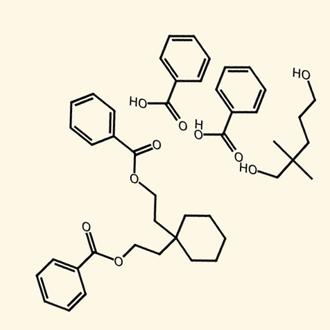 CC(C)(CO)CCCO.O=C(O)c1ccccc1.O=C(O)c1ccccc1.O=C(OCCC1(CCOC(=O)c2ccccc2)CCCCC1)c1ccccc1